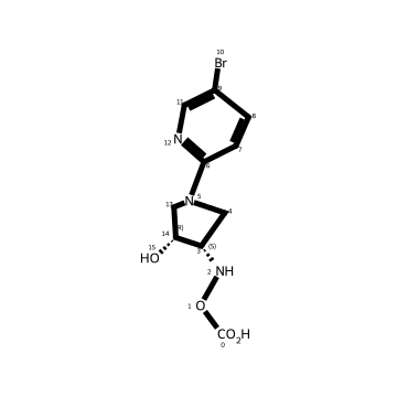 O=C(O)ON[C@H]1CN(c2ccc(Br)cn2)C[C@H]1O